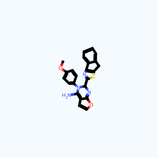 COc1ccc(N2C(N)=c3ccoc3=NC2c2nc3c(s2)Cc2ccccc2-3)cc1